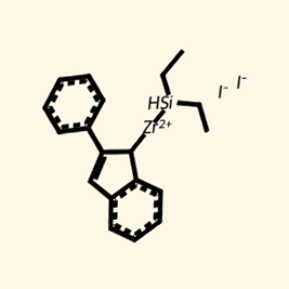 CC[SiH](CC)[Zr+2][CH]1C(c2ccccc2)=Cc2ccccc21.[I-].[I-]